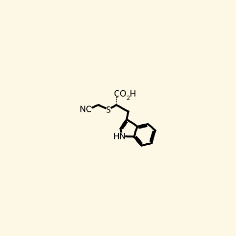 N#CCS[C@@H](Cc1c[nH]c2ccccc12)C(=O)O